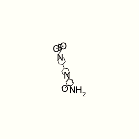 COc1cc(N2CCC(C3CCN(CCS(C)(=O)=O)CC3)CC2)ccc1N